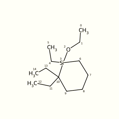 CCO[Si]1(CC)CCCCC1(CC)CC